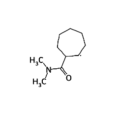 CN(C)C(=O)C1[CH]CCCCC1